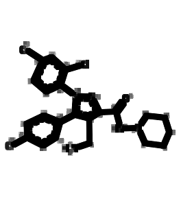 NCc1c(C(=O)NN2CCCCC2)nn(-c2ccc(Cl)cc2Cl)c1-c1ccc(Cl)cc1